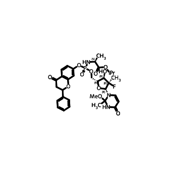 COC1(C)NC(=O)C=CN1[C@@H]1O[C@H](COP(=O)(N[C@@H](C)C(=O)OC(C)C)Oc2ccc3c(c2)OC(c2ccccc2)CC3=O)[C@@H](O)[C@@]1(C)F